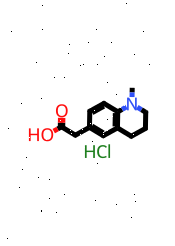 CN1CCCc2cc(CC(=O)O)ccc21.Cl